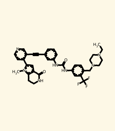 CCN1CCN(Cc2ccc(NC(=O)Nc3cccc(C#Cc4cnccc4-c4cc5c(n4C)CCNC5=O)c3)cc2C(F)(F)F)CC1